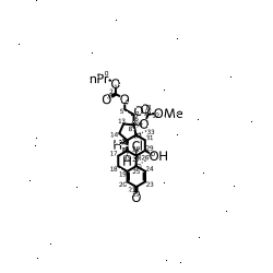 CCCOC(=O)OCC(=O)[C@@]1(OC(=O)OC)CC[C@H]2[C@@H]3CCC4=CC(=O)C=C[C@]4(C)[C@@]3(Cl)C(O)C[C@@]21C